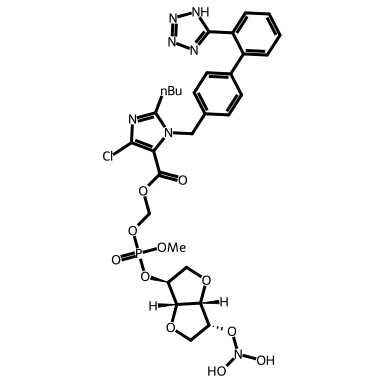 CCCCc1nc(Cl)c(C(=O)OCOP(=O)(OC)O[C@H]2CO[C@H]3[C@@H]2OC[C@H]3ON(O)O)n1Cc1ccc(-c2ccccc2-c2nnn[nH]2)cc1